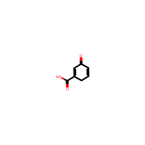 O=C1C=CCC(C(=O)O)=C1